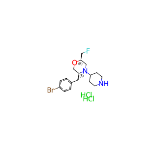 Cl.Cl.FC[C@H]1CN(C2CCNCC2)[C@@H](Cc2ccc(Br)cc2)CO1